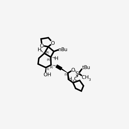 CCCCC1[C@H]2[C@H](C#C[C@H](CC3CCCC3)O[Si](C)(C)C(C)(C)C)[C@@H](O)CC[C@H]2C12OCCO2